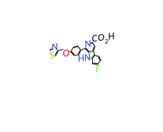 O=C(O)c1cc2c([nH]c3cc(F)ccc32)c(-c2ccc(OCc3cscn3)cc2)n1